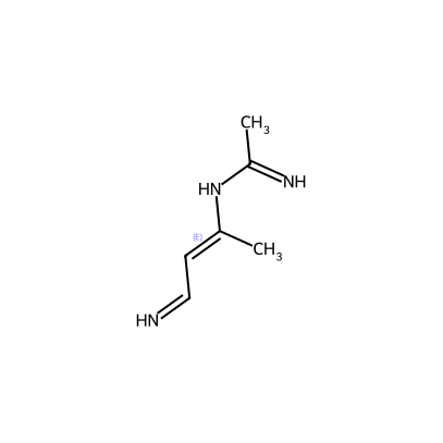 CC(=N)N/C(C)=C/C=N